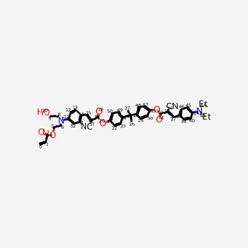 C=CC(=O)OCCN(CCO)c1ccc(/C=C(\C#N)C(=O)Oc2ccc(C(C)(C)c3ccc(OC(=O)/C(C#N)=C/c4ccc(N(CC)CC)cc4)cc3)cc2)cc1